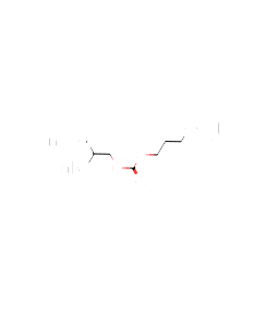 CCCCCCC(CCCC)COC(=O)OCCCC(=O)O